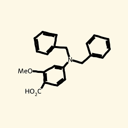 COc1cc(N(Cc2ccccc2)Cc2ccccc2)ccc1C(=O)O